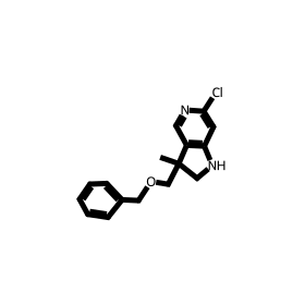 CC1(COCc2ccccc2)CNc2cc(Cl)ncc21